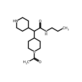 CCCNC(=O)[C](C1CCNCC1)C1CCN(C(C)=O)CC1